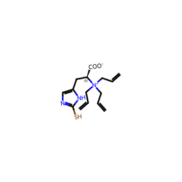 C=CC[N+](CC=C)(CC=C)[C@@H](Cc1cnc(S)[nH]1)C(=O)[O-]